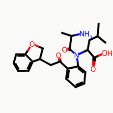 CC(C)CC(C(=O)O)N(C(=O)C(C)N)c1ccccc1C(=O)CC1COc2ccccc21